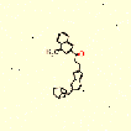 C=C1C=C(C(=O)CCC2=CC3C=C(CC4C5CCC4CC5)C=CC3=C2)C=C2C=CC=CC12